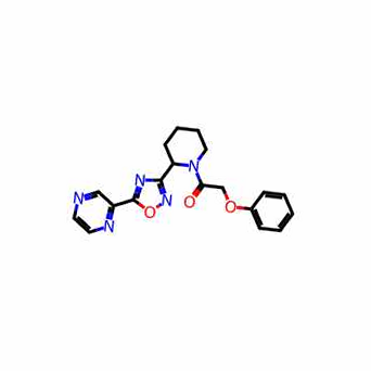 O=C(COc1ccccc1)N1CCCCC1c1noc(-c2cnccn2)n1